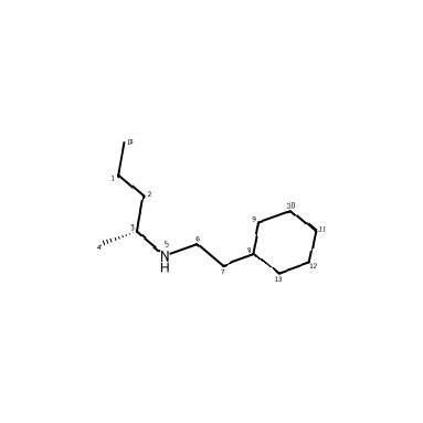 CCC[C@@H](C)NCCC1CCCCC1